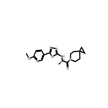 COc1ccc(-c2nnc(N[C@H](C)C(=O)N3CCC4(CC3)CC4)o2)cn1